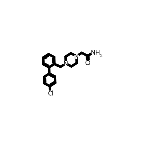 NC(=O)CN1CCN(Cc2ccccc2-c2ccc(Cl)cc2)CC1